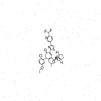 CCOc1ccc(Cl)c(C2CC(=O)C(c3nc(-c4ccc(C(F)F)nc4)cs3)=CC(C(=O)N3C[C@H]4CC[C@@H](C3)N4)=C2CC(C)C)c1